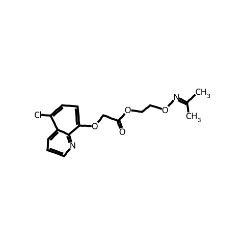 CC(C)=NOCCOC(=O)COc1ccc(Cl)c2cccnc12